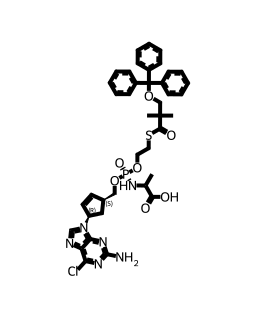 CC(NP(=O)(OCCSC(=O)C(C)(C)COC(c1ccccc1)(c1ccccc1)c1ccccc1)OC[C@@H]1C=C[C@H](n2cnc3c(Cl)nc(N)nc32)C1)C(=O)O